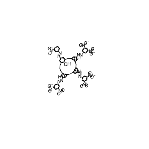 O=[N+]([O-])c1cccc(N=Nc2cc3c(O)c(c2)Cc2cc(N=Nc4cc([N+](=O)[O-])cc([N+](=O)[O-])c4)cc(c2O)Cc2cc(N=Nc4cc([N+](=O)[O-])cc([N+](=O)[O-])c4)cc(c2O)Cc2cc(N=Nc4cc([N+](=O)[O-])cc([N+](=O)[O-])c4)cc(c2O)CCC3)c1